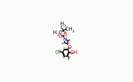 CC(C)(C)OC(=O)N1CC(Oc2cc(Cl)cc(F)c2O)C1